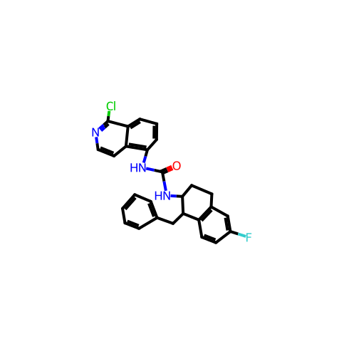 O=C(Nc1cccc2c(Cl)nccc12)NC1CCc2cc(F)ccc2C1Cc1ccccc1